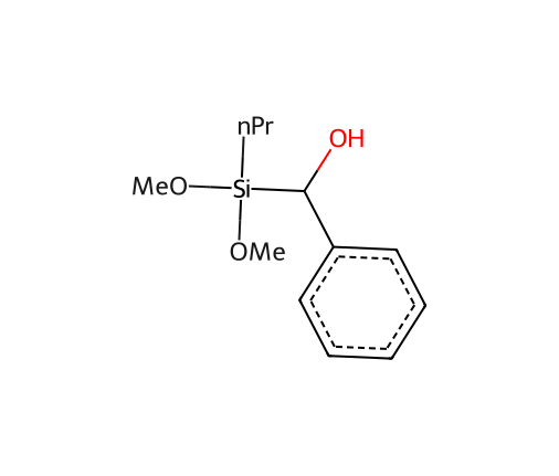 CCC[Si](OC)(OC)C(O)c1ccccc1